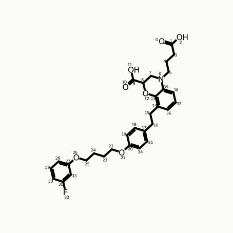 O=C(O)CCCN1CC(C(=O)O)Oc2c(CCc3ccc(OCCCCOc4cccc(F)c4)cc3)cccc21